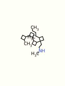 CCCC(C)C1CCC1(CCNC)C1CCC1C1CCC1C1CCC1C